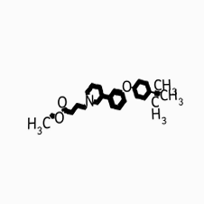 CCOC(=O)CCCN1CCCC(c2cccc(O[C@H]3CC[C@H](C(C)(C)C)CC3)c2)C1